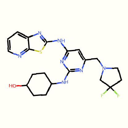 OC1CCC(Nc2nc(CN3CCC(F)(F)C3)cc(Nc3nc4cccnc4s3)n2)CC1